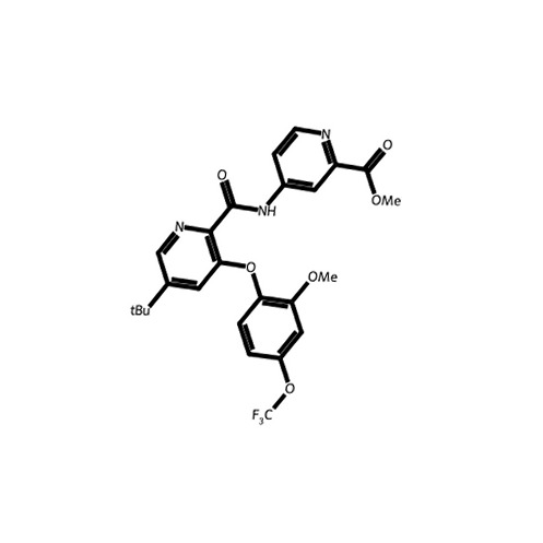 COC(=O)c1cc(NC(=O)c2ncc(C(C)(C)C)cc2Oc2ccc(OC(F)(F)F)cc2OC)ccn1